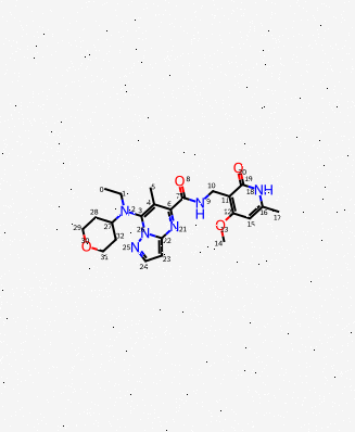 CCN(c1c(C)c(C(=O)NCc2c(OC)cc(C)[nH]c2=O)nc2ccnn12)C1CCOCC1